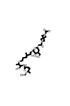 CCCC(NC(=O)/C=C\C(C)OC=O)C(C)OCC/C=C(C)/C=C/[C@H]1O[C@H](CC(=O)N2CC3(CN(C(=O)CC)C3)C2)CC(CO)[C@@H]1O